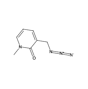 Cn1cccc(CN=[N+]=[N-])c1=O